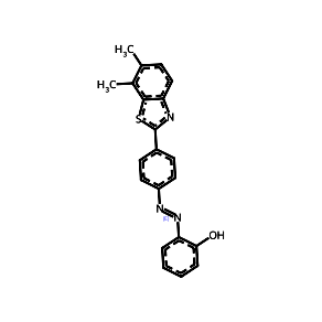 Cc1ccc2nc(-c3ccc(/N=N/c4ccccc4O)cc3)sc2c1C